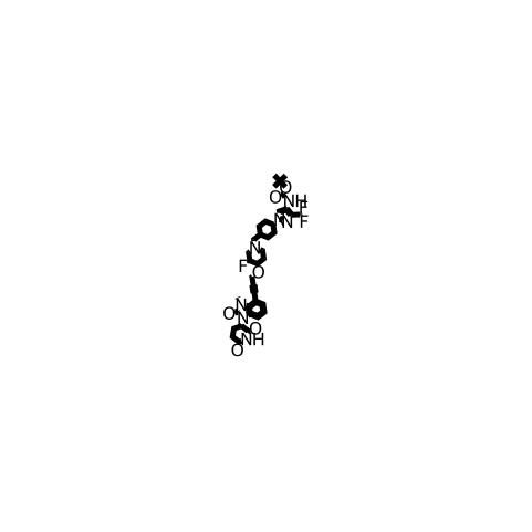 Cn1c(=O)n(C2CCC(=O)NC2=O)c2cccc(C#CCO[C@H]3CCN(CC4CCC(n5cc(NC(=O)OC(C)(C)C)c(C(F)F)n5)CC4)C[C@@H]3F)c21